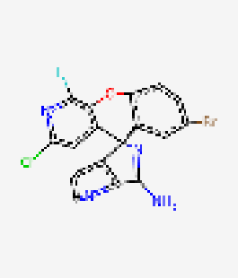 NC1=N[C@]2(c3cc(Br)ccc3Oc3c2cc(Cl)nc3F)c2cccnc21